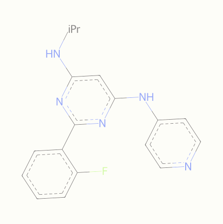 CC(C)Nc1cc(Nc2ccncc2)nc(-c2ccccc2F)n1